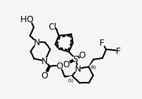 O=C(OC[C@@H]1CCC[C@H](CCC(F)F)N1S(=O)(=O)c1ccc(Cl)cc1)N1CCN(CCO)CC1